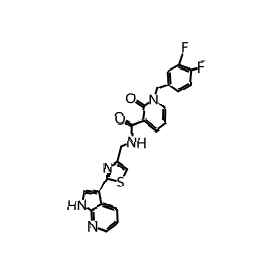 O=C(NCc1csc(-c2c[nH]c3ncccc23)n1)c1cccn(Cc2ccc(F)c(F)c2)c1=O